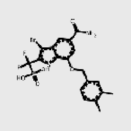 Cc1ccc(COc2cc(C(N)=O)cc3c(Br)c(C(F)(F)P(=O)(O)O)sc23)cc1C